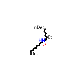 CCCCCCCCCCCCCCCCCC(=O)NC[C](CC)CCCCCCCCCCCCCC